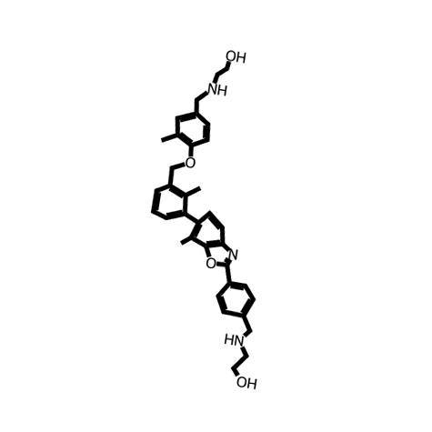 Cc1cc(CNCCO)ccc1OCc1cccc(-c2ccc3nc(-c4ccc(CNCCO)cc4)oc3c2C)c1C